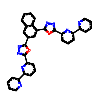 c1ccc(-c2cccc(-c3nnc(-c4cc(-c5nnc(-c6cccc(-c7ccccn7)n6)o5)c5ccccc5c4)o3)n2)nc1